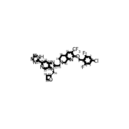 Fc1cc(Cl)cc(F)c1COc1nc2c(cc1C(F)(F)F)CCN(Cc1nc3cc(-c4nnn[nH]4)ncc3n1C[C@@H]1CCO1)C2